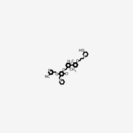 Cc1c(COc2cc(OCc3cncc(C#N)c3)c(CN3CCCCC3)cc2Cl)cccc1-c1cccc(OCCCN2CCCC(O)C2)c1C